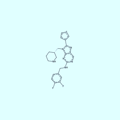 Fc1ccc(CNc2ncc3nc(-c4ccsc4)n(C[C@H]4CCCNC4)c3n2)cc1F